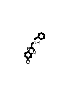 Clc1ccc2nc(CNCc3ccccc3)cnc2c1